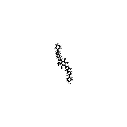 Fc1c(F)c(-c2cc3sc4cc(-c5ccccc5)sc4c3s2)c(F)c(F)c1-c1cc2sc3cc(-c4ccccc4)sc3c2s1